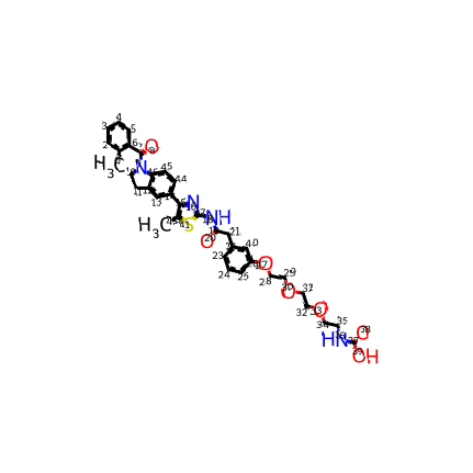 Cc1ccccc1C(=O)N1CCc2cc(-c3nc(NC(=O)Cc4cccc(OCCOCCOCCNC(=O)O)c4)sc3C)ccc21